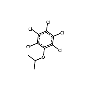 CC(C)Oc1c(Cl)c(Cl)c(Cl)c(Cl)c1Cl